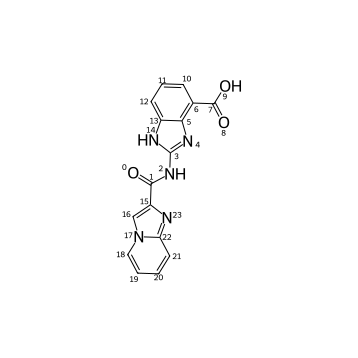 O=C(Nc1nc2c(C(=O)O)cccc2[nH]1)c1cn2ccccc2n1